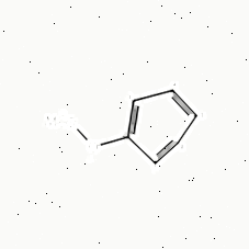 COOc1c[c]ccc1